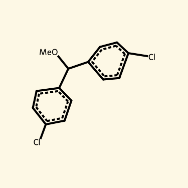 COC(c1ccc(Cl)cc1)c1ccc(Cl)cc1